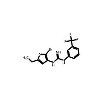 CCc1cc(NC(=N)Nc2cccc(C(F)(F)F)c2)c(Br)s1